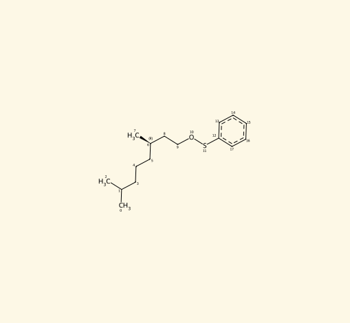 CC(C)CCC[C@@H](C)CCOSc1ccccc1